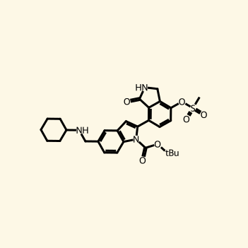 CC(C)(C)OC(=O)n1c(-c2ccc(OS(C)(=O)=O)c3c2C(=O)NC3)cc2cc(CNC3CCCCC3)ccc21